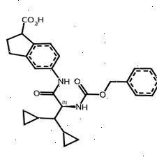 O=C(N[C@H](C(=O)Nc1ccc2c(c1)CCC2C(=O)O)C(C1CC1)C1CC1)OCc1ccccc1